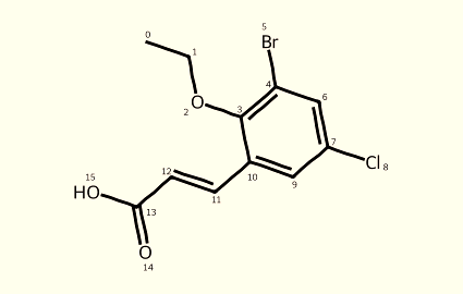 CCOc1c(Br)cc(Cl)cc1/C=C/C(=O)O